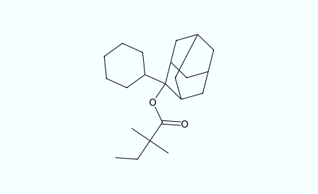 CCC(C)(C)C(=O)OC1(C2CCCCC2)C2CC3CC(C2)CC1C3